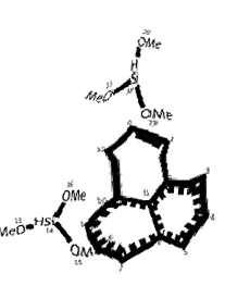 C1=Cc2cccc3cccc(c23)C1.CO[SiH](OC)OC.CO[SiH](OC)OC